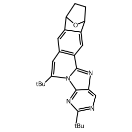 CC(C)(C)c1ncc2nc3c4cc5c(cc4cc(C(C)(C)C)n3c2n1)C1CCC5O1